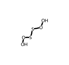 OOSSOO